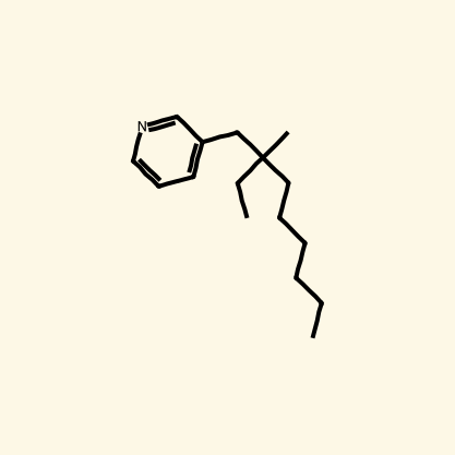 CCCCCCC(C)(CC)Cc1cccnc1